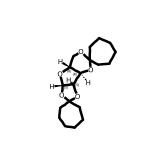 C1CCCC2(CC1)O[C@@H]1O[C@@H]3COC4(CCCCCC4)O[C@H]3[C@@H]1O2